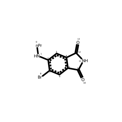 CCCNc1cc2c(cc1Br)C(=O)NC2=O